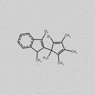 CC1=C(C)C(C)(C2=C(C)c3ccccc3C2C)[C]([Zr])=C1C